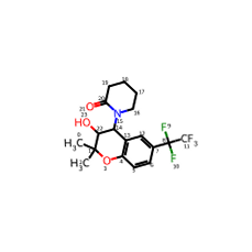 CC1(C)Oc2ccc(C(F)(F)C(F)(F)F)cc2C(N2CCCCC2=O)C1O